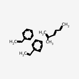 C=CC=CC(=C)C.C=Cc1ccccc1.C=Cc1ccccc1